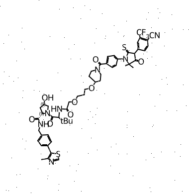 Cc1ncsc1-c1ccc(CNC(=O)[C@@H]2C[C@@H](O)CN2C(=O)C(NC(=O)COCCCOC2CCN(C(=O)c3ccc(N4C(=S)C(c5ccc(C#N)c(C(F)(F)F)c5)C(=O)C4(C)C)cc3)CC2)C(C)(C)C)cc1